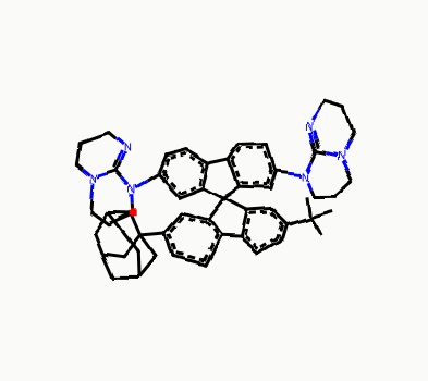 CC(C)(C)c1ccc2c(c1)C1(c3cc(N4CCCN5CCCN=C54)ccc3-c3ccc(N4CCCN5CCCN=C54)cc31)c1cc(C34CC5CC(CC(C5)C3)C4)ccc1-2